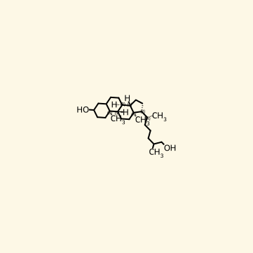 CC(CO)CCC[C@@H](C)[C@H]1CC[C@H]2[C@@H]3CCC4CC(O)CC[C@]4(C)[C@H]3CC[C@]12C